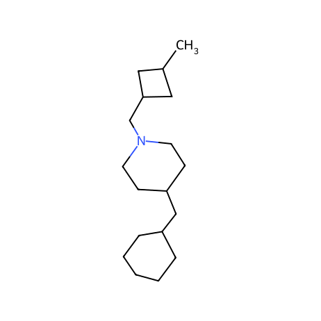 CC1CC(CN2CCC(CC3CCCCC3)CC2)C1